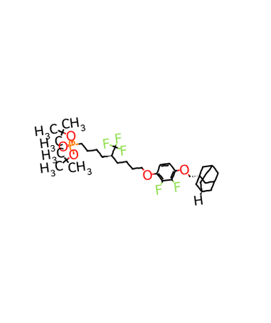 CC(C)(C)OP(=O)(CCCC[C@H](CCCCOc1ccc(OC[C@]23CC4CC(C[C@H](C4)C2)C3)c(F)c1F)C(F)(F)F)OC(C)(C)C